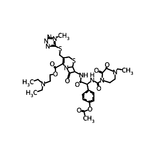 CCN(CC)CCOC(=O)C1=C(CSc2nnnn2C)CSC2C(NC(=O)C(NC(=O)N3CCN(CC)C(=O)C3=O)c3ccc(OC(C)=O)cc3)C(=O)N12